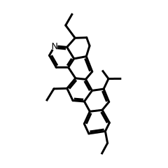 CCc1ccc2c(c1)cc(C(C)C)c1c2cc(CC)c2c3ccnc4c3c(cc21)CCC4CC